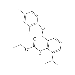 CCOC(=O)Nc1c(COc2ccc(C)cc2C)cccc1C(C)C